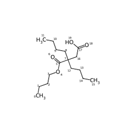 CCCCOC(=O)C(CCCC)(CCCC)CC(=O)O